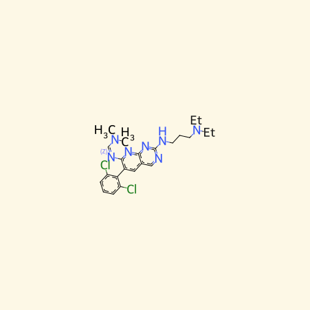 CCN(CC)CCCNc1ncc2cc(-c3c(Cl)cccc3Cl)c(/N=C\N(C)C)nc2n1